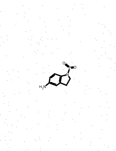 Nc1ccc2c(c1)CCN2P(=O)=O